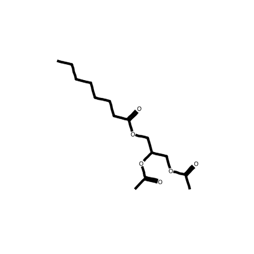 CCCCCCCC(=O)OCC(COC(C)=O)OC(C)=O